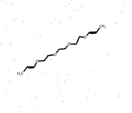 CC=COCCOCCOCCOC=CC